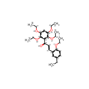 CCOc1ccc(CC)cc1C=CC(=O)c1c(OCC)c(OCC)cc(OCC)c1OCC